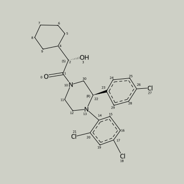 O=C([C@@H](O)C1CCCCC1)N1CCN(c2ccc(Cl)cc2Cl)[C@H](c2ccc(Cl)cc2)C1